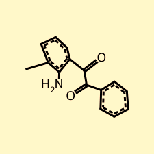 Cc1cccc(C(=O)C(=O)c2ccccc2)c1N